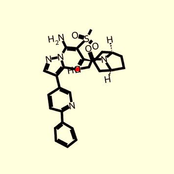 CS(=O)(=O)c1c([C@H]2C[C@H]3CC[C@@H](C2)N3C(=O)CO)nc2c(-c3ccc(-c4ccccc4)nc3)cnn2c1N